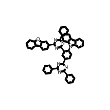 c1ccc(-c2nc(-c3ccccc3)nc(-c3ccc(-n4c5ccccc5c5ccccc54)c(-c4nc(-c5ccccc5)nc(-c5ccc6c(c5)oc5ccccc56)n4)c3)n2)cc1